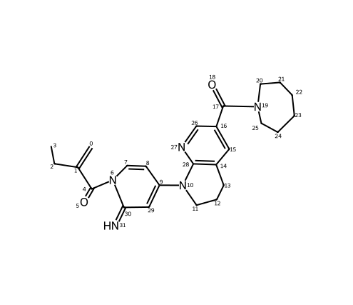 C=C(CC)C(=O)n1ccc(N2CCCc3cc(C(=O)N4CCCCCC4)cnc32)cc1=N